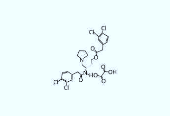 CN(C(=O)Cc1ccc(Cl)c(Cl)c1)[C@@H](CCOC(=O)Cc1ccc(Cl)c(Cl)c1)CN1CCCC1.O=C(O)C(=O)O